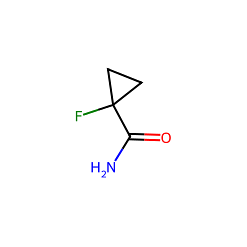 NC(=O)C1(F)CC1